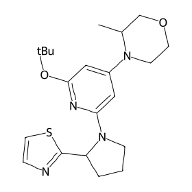 CC1COCCN1c1cc(OC(C)(C)C)nc(N2CCCC2c2nccs2)c1